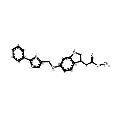 COC(=O)CC1COc2cc(OCc3csc(-c4ccccc4)n3)ccc21